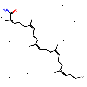 CC(=O)CCC=C(C)CCC=C(C)CCC=C(C)CCC=C(C)CCC=C(C)C(N)=O